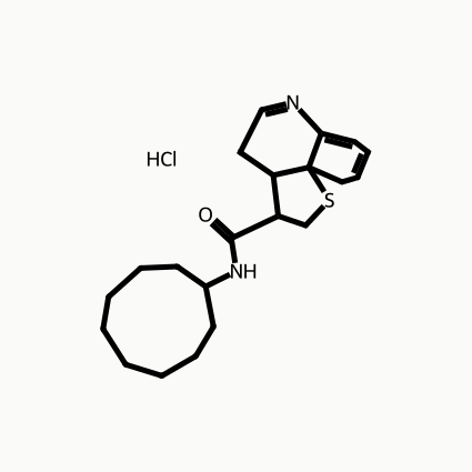 Cl.O=C(NC1CCCCCCCC1)C1CSC23CC=CC=C2N=CCC13